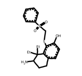 CCC1(CC)c2c(ccc(O)c2SCS(=O)(=O)c2ccccc2)CCC1N